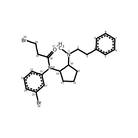 CN(CCc1ccccc1)C1CCCC1N(C(=O)CCBr)c1cccc(Br)c1